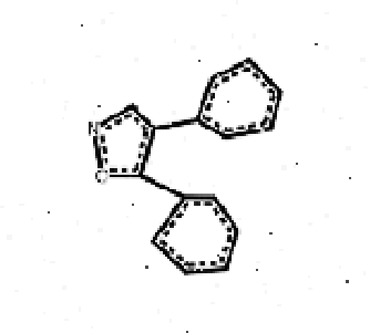 [c]1noc(-c2ccccc2)c1-c1ccccc1